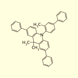 Cc1cc(-c2ccccc2)ccc1N1c2ccc(-c3ccccc3)cc2C(C)(C)c2cc(-c3ccccc3)ccc21